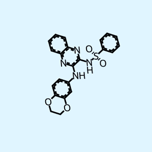 O=S(=O)(Nc1nc2ccccc2nc1Nc1ccc2c(c1)OCCO2)c1ccccc1